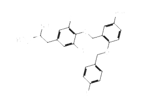 CC(C)(C)c1ccc(OCc2ccc(F)cc2)c(COc2c(Cl)cc(C[C@H](N)C(=O)O)cc2Cl)c1